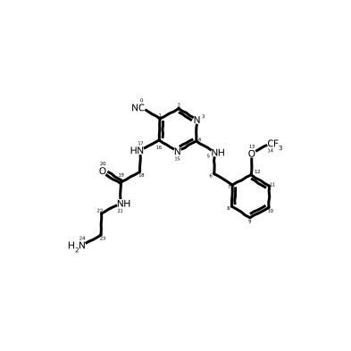 N#Cc1cnc(NCc2ccccc2OC(F)(F)F)nc1NCC(=O)NCCN